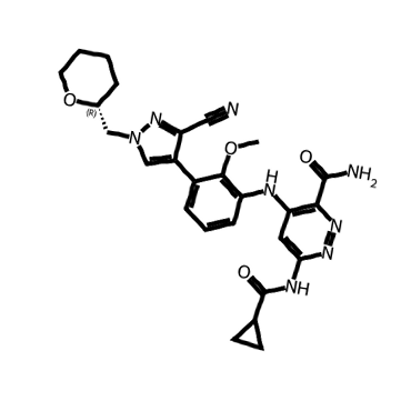 COc1c(Nc2cc(NC(=O)C3CC3)nnc2C(N)=O)cccc1-c1cn(C[C@H]2CCCCO2)nc1C#N